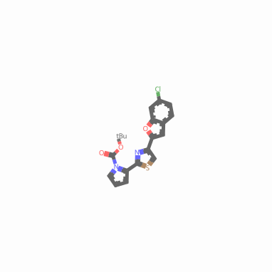 CC(C)(C)OC(=O)n1cccc1-c1nc(-c2cc3ccc(Cl)cc3o2)cs1